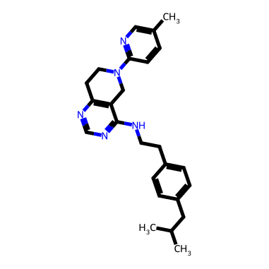 Cc1ccc(N2CCc3ncnc(NCCc4ccc(CC(C)C)cc4)c3C2)nc1